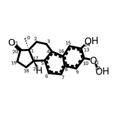 C[C@]12CCc3c(ccc4cc(OO)c(O)cc34)[C@@H]1CCC2=O